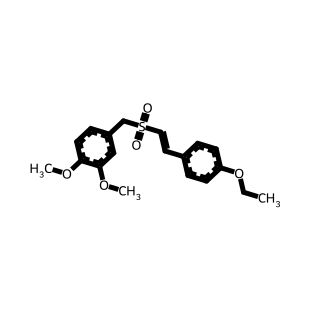 CCOc1ccc(C=CS(=O)(=O)Cc2ccc(OC)c(OC)c2)cc1